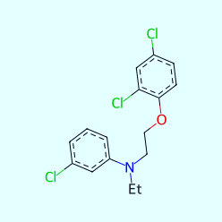 CCN(CCOc1ccc(Cl)cc1Cl)c1cccc(Cl)c1